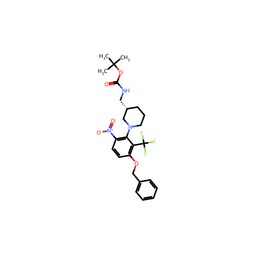 CC(C)(C)OC(=O)NC[C@@H]1CCCN(c2c([N+](=O)[O-])ccc(OCc3ccccc3)c2C(F)(F)F)C1